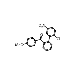 COc1ccc(C(=O)c2ccccc2-c2cc([N+](=O)[O-])ccc2Cl)cc1